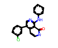 O=C1[N]C=Cc2c(-c3cccc(Cl)c3)cnc(Nc3ccccc3)c21